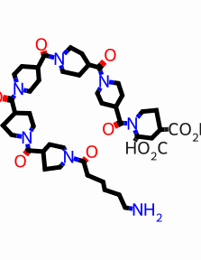 NCCCCCC(=O)N1CCC(C(=O)N2CCC(C(=O)N3CCC(C(=O)N4CCC(C(=O)N5CCC(C(=O)N6CCC(C(=O)O)CC6C(=O)O)CC5)CC4)CC3)CC2)CC1